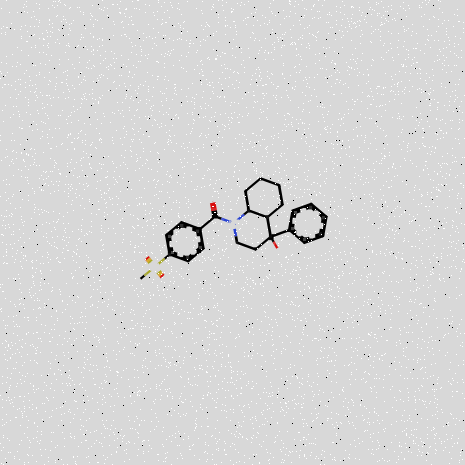 CS(=O)(=O)c1ccc(C(=O)N2CCC(O)(c3ccccc3)C3CCCCC32)cc1